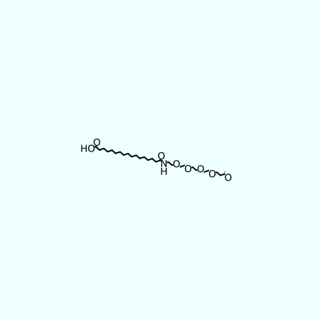 O=[C]CCOCCOCCOCCOCCNC(=O)CCCCCCCCCCCCCCCC(=O)O